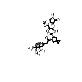 BC(B)(B)C(B)(B)CCCC(=O)N1CC2(CC2)C[C@H]1C(=O)N[C@@H](C[C@@H]1CCNC1=O)C(=O)COC(F)(F)F